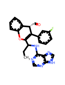 CCC(Nc1ncnc2[nH]cnc12)C1=C(c2cccc(F)c2)[C@@H](C=O)c2ccccc2O1